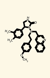 COc1ccc(CCN(Cc2cnc3ccccc3c2)N2C(=O)NCC2c2ccc(C)c(C)c2)cc1